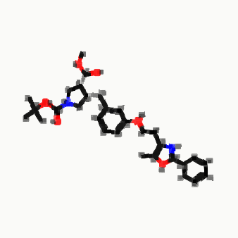 COC(=O)[C@H]1CN(C(=O)OC(C)(C)C)C[C@H]1Cc1cccc(OCCc2nc(-c3ccccc3)oc2C)c1